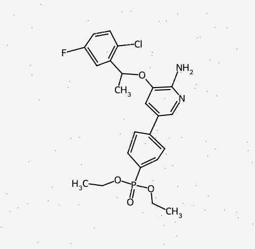 CCOP(=O)(OCC)c1ccc(-c2cnc(N)c(OC(C)c3cc(F)ccc3Cl)c2)cc1